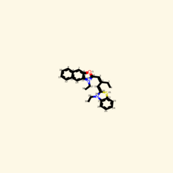 CCC(=Cc1oc2cc3ccccc3cc2[n+]1CC)C=C1Sc2ccccc2N1CC